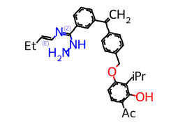 C=C(c1ccc(COc2ccc(C(C)=O)c(O)c2C(C)C)cc1)c1cccc(/C(=N/C=C/CC)NN)c1